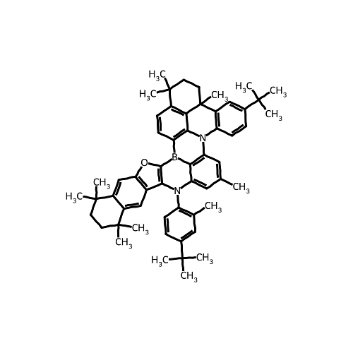 Cc1cc2c3c(c1)N(c1ccc(C(C)(C)C)cc1C)c1c(oc4cc5c(cc14)C(C)(C)CCC5(C)C)B3c1ccc3c4c1N2c1ccc(C(C)(C)C)cc1C4(C)CCC3(C)C